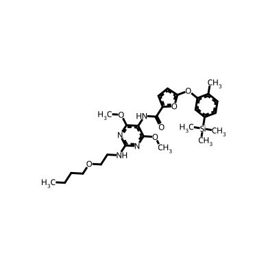 CCCCOCCNc1nc(OC)c(NC(=O)c2ccc(Oc3cc([Si](C)(C)C)ccc3C)o2)c(OC)n1